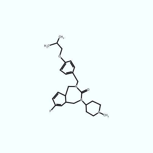 CC(C)COc1ccc(CN2CC3C=CC(F)=CC3CN(C3CCN(C)CC3)C2=O)cc1